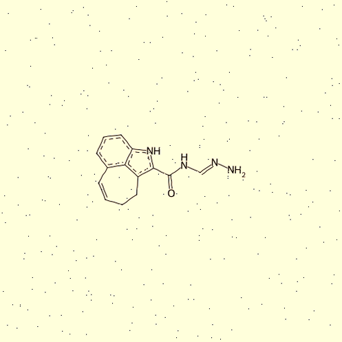 NN=CNC(=O)c1[nH]c2cccc3c2c1CCC=C3